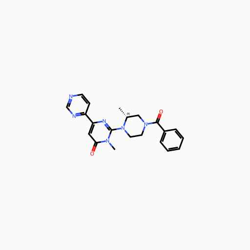 C[C@@H]1CN(C(=O)c2ccccc2)CCN1c1nc(-c2ccncn2)cc(=O)n1C